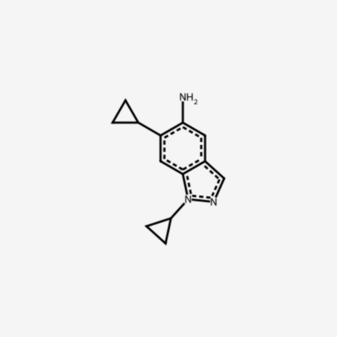 Nc1cc2cnn(C3CC3)c2cc1C1CC1